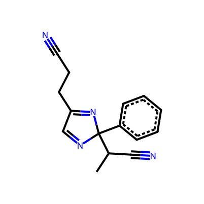 CC(C#N)C1(c2ccccc2)N=CC(CCC#N)=N1